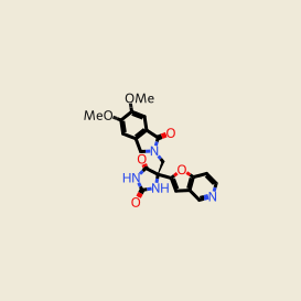 COc1cc2c(cc1OC)C(=O)N(C[C@@]1(c3cc4cnccc4o3)NC(=O)NC1=O)C2